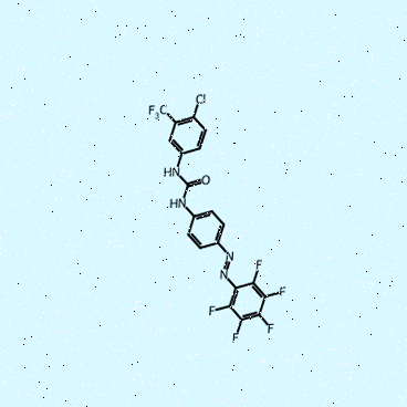 O=C(Nc1ccc(N=Nc2c(F)c(F)c(F)c(F)c2F)cc1)Nc1ccc(Cl)c(C(F)(F)F)c1